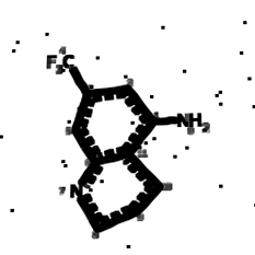 Nc1cc(C(F)(F)F)cc2ncccc12